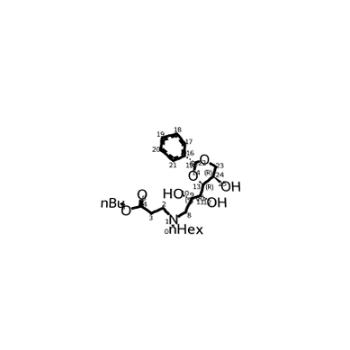 CCCCCCN(CCC(=O)OCCCC)C[C@H](O)[C@@H](O)[C@@H]1O[C@H](c2ccccc2)OC[C@H]1O